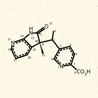 CC(c1ccc(C(=O)O)nc1)[C@@]1(C)C(=O)Nc2ncccc21